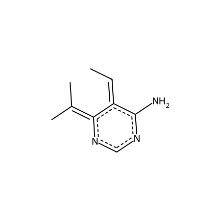 C/C=c1/c(N)ncnc1=C(C)C